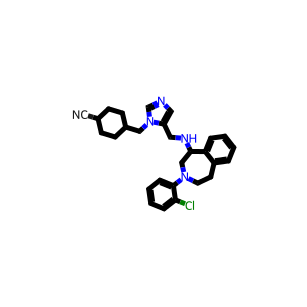 N#CC1CCC(Cn2cncc2CNC2CN(c3ccccc3Cl)CCc3ccccc32)CC1